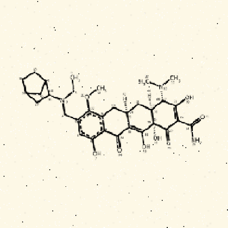 CCN(Cc1cc(O)c2c(c1OC)C[C@H]1C[C@H]3[C@H](N(C)C)C(O)=C(C(N)=O)C(=O)[C@@]3(O)C(O)=C1C2=O)[C@H]1CC2CCC1C2